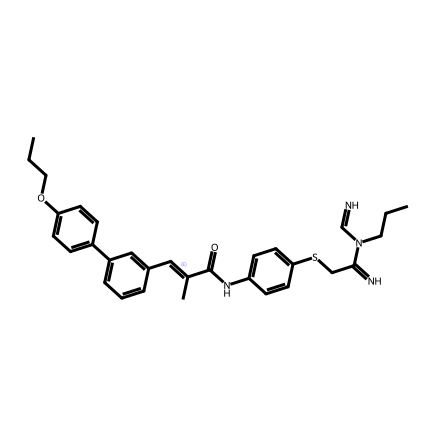 CCCOc1ccc(-c2cccc(/C=C(\C)C(=O)Nc3ccc(SCC(=N)N(C=N)CCC)cc3)c2)cc1